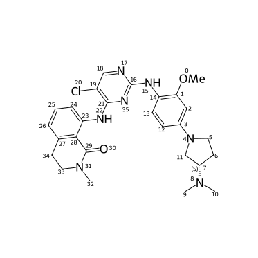 COc1cc(N2CC[C@H](N(C)C)C2)ccc1Nc1ncc(Cl)c(Nc2cccc3c2C(=O)N(C)CC3)n1